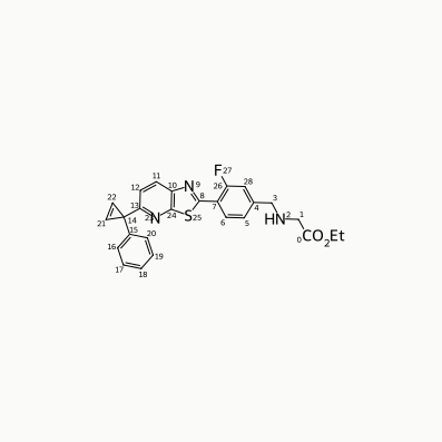 CCOC(=O)CNCc1ccc(-c2nc3ccc(C4(c5ccccc5)C=C4)nc3s2)c(F)c1